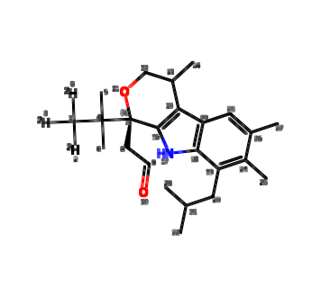 [2H]C([2H])([2H])C(C)(C)[C@]1(CC=O)OCC(C)c2c1[nH]c1c(CC(C)C)c(C)c(C)cc21